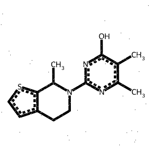 Cc1nc(N2CCc3ccsc3C2C)nc(O)c1C